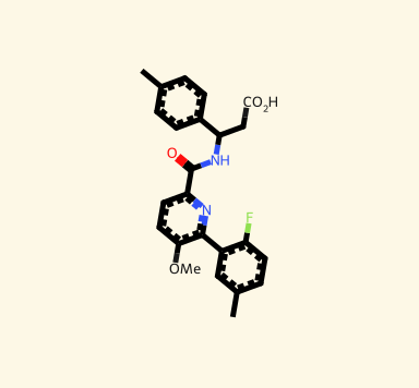 COc1ccc(C(=O)NC(CC(=O)O)c2ccc(C)cc2)nc1-c1cc(C)ccc1F